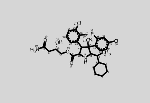 CC(C1CCCCC1)C1NC(C(=O)OC[C@@H](O)CC(N)=O)C(c2cccc(Cl)c2F)C1(C#N)c1ccc(Cl)cc1F